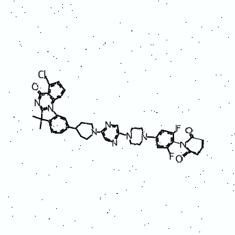 CC1(C)c2ccc(C3CCN(c4cnc(N5CCN(c6cc(F)c(N7C(=O)CCCC7=O)c(F)c6)CC5)cn4)CC3)cc2-n2c1nc(=O)c1c(Cl)cccc12